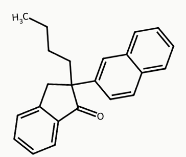 CCCCC1(c2ccc3ccccc3c2)Cc2ccccc2C1=O